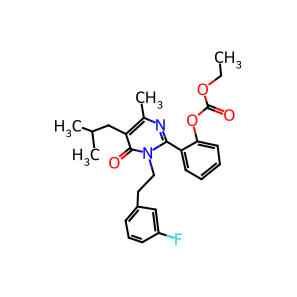 CCOC(=O)Oc1ccccc1-c1nc(C)c(CC(C)C)c(=O)n1CCc1cccc(F)c1